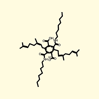 CCCCCCCCNC(=O)c1c(CC=C(C)CCC=C(C)C)c(C(=O)O)c(C(=O)NCCCCCCCC)c(CC=C(C)CCC=C(C)C)c1C(=O)O